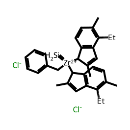 CCc1c(C)ccc2c1C=C(C)[CH]2[Zr+2](=[SiH2])([CH2]c1ccccc1)[CH]1C(C)=Cc2c1ccc(C)c2CC.[Cl-].[Cl-]